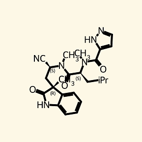 CC(C)C[C@@H](C(=O)N(C)[C@H](C#N)C[C@@]1(C)C(=O)Nc2ccccc21)N(C)C(=O)c1ccn[nH]1